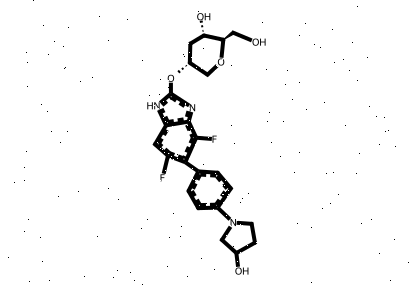 OC[C@H]1OC[C@H](Oc2nc3c(F)c(-c4ccc(N5CCC(O)C5)cc4)c(F)cc3[nH]2)C[C@@H]1O